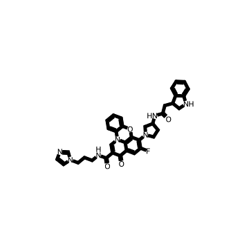 O=C(CC1CNc2ccccc21)NC1CCN(c2c(F)cc3c(=O)c(C(=O)NCCCn4ccnc4)cn4c3c2Oc2ccccc2-4)C1